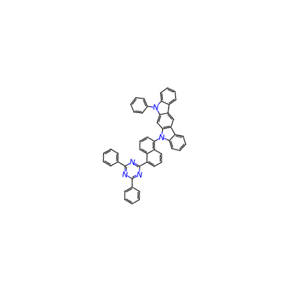 c1ccc(-c2nc(-c3ccccc3)nc(-c3cccc4c(-n5c6ccccc6c6cc7c8ccccc8n(-c8ccccc8)c7cc65)cccc34)n2)cc1